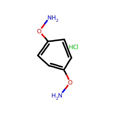 Cl.NOc1ccc(ON)cc1